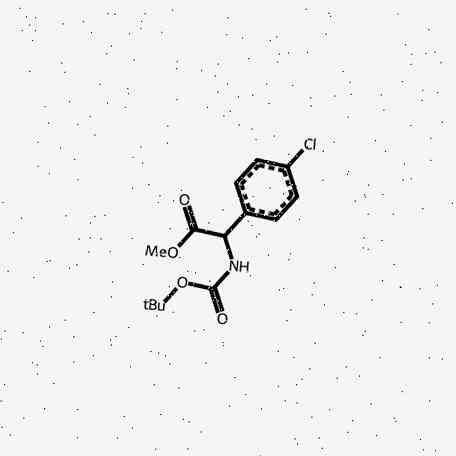 COC(=O)C(NC(=O)OC(C)(C)C)c1ccc(Cl)cc1